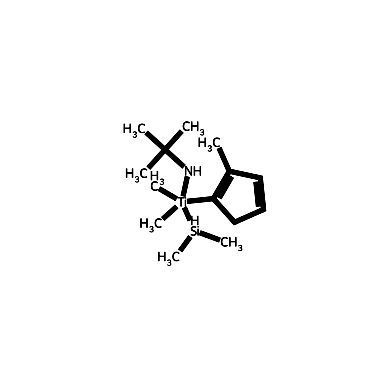 CC1=[C]([Ti]([CH3])([CH3])([NH]C(C)(C)C)[SiH](C)C)CC=C1